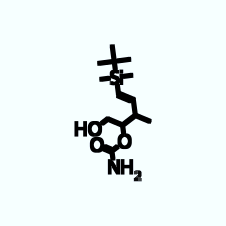 CC(C=C[Si](C)(C)C(C)(C)C)C(CO)OC(N)=O